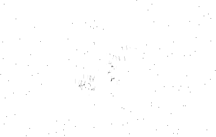 CCCCCCCCCCCCNC(=O)[C@H](CCCCNC(=N)N[N+](=O)[O-])NC(=O)OC(C)(C)C